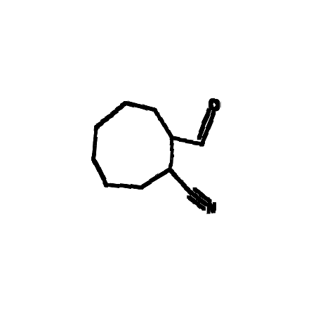 N#CC1CCCCCCC1C=O